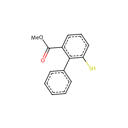 COC(=O)c1cccc(S)c1-c1ccccc1